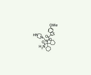 COc1ccc2c(C(=O)C(=O)N(CCN3CCNCC3)C(C(N)=O)(C3CCCCC3)C3CCCCC3)csc2c1